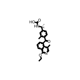 CCOc1ncc(C)c2c(C(=O)c3ccc([C@@H](C)NC(=O)O)cc3C)cccc12